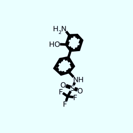 Nc1cccc(-c2cccc(NS(=O)(=O)C(F)(F)F)c2)c1O